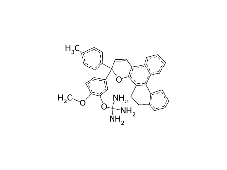 COc1ccc(C2(c3ccc(C)cc3)C=Cc3c(c4c(c5ccccc35)-c3ccccc3CC4)O2)cc1OC(N)(N)N